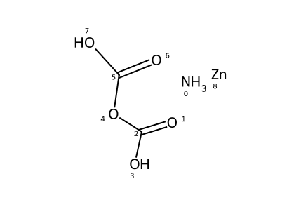 N.O=C(O)OC(=O)O.[Zn]